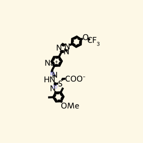 COc1cc(C)c(/N=C(/N/N=C/c2ccc(-c3ncn(-c4ccc(OC(F)(F)F)cc4)n3)cc2)SCC(=O)[O-])c(C)c1.[Na+]